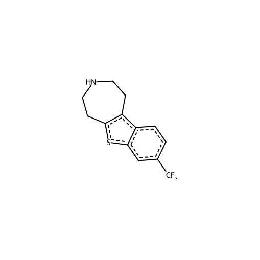 FC(F)(F)c1ccc2c3c(sc2c1)CCNCC3